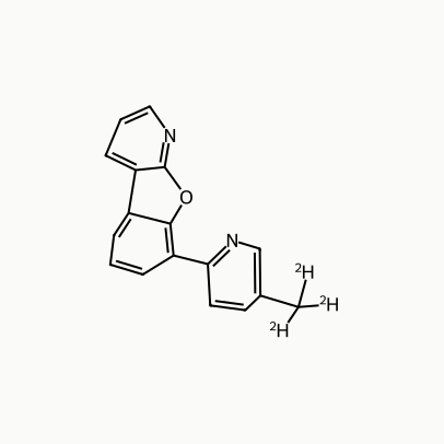 [2H]C([2H])([2H])c1ccc(-c2cccc3c2oc2ncccc23)nc1